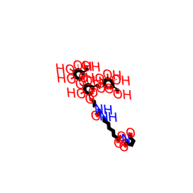 O=C(NCCCCCC(=O)ON1C(=O)CCC1=O)NCCO[C@@H]1O[C@H](CO[C@H]2O[C@H](CO)[C@@H](O)[C@H](O)[C@@H]2O)[C@@H](O)[C@H](O[C@H]2O[C@H](CO)[C@@H](O)[C@H](O)[C@@H]2O)[C@@H]1O